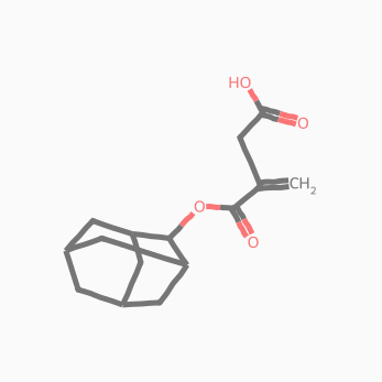 C=C(CC(=O)O)C(=O)OC1C2CC3CC(C2)CC1C3